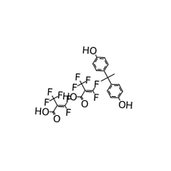 CC(C)(c1ccc(O)cc1)c1ccc(O)cc1.O=C(O)C(=C(F)F)C(F)(F)F.O=C(O)C(=C(F)F)C(F)(F)F